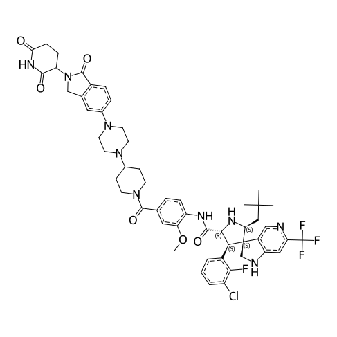 COc1cc(C(=O)N2CCC(N3CCN(c4ccc5c(c4)CN(C4CCC(=O)NC4=O)C5=O)CC3)CC2)ccc1NC(=O)[C@@H]1N[C@@H](CC(C)(C)C)[C@@]2(CNc3cc(C(F)(F)F)ncc32)[C@H]1c1cccc(Cl)c1F